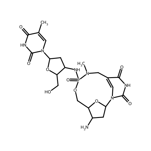 Cc1cn(C2CC(NP3(=O)OCC4OC(CC4N)n4cc(c(=O)[nH]c4=O)CN3C)C(CO)O2)c(=O)[nH]c1=O